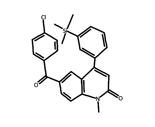 Cn1c(=O)cc(-c2cccc([Si](C)(C)C)c2)c2cc(C(=O)c3ccc(Cl)cc3)ccc21